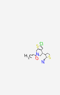 C=CC(=O)N1Cc2sc(Cl)cc2[C@@H](C2CCSC2C#N)C1